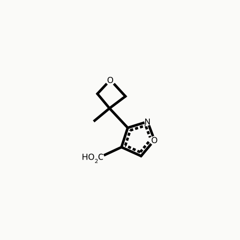 CC1(c2nocc2C(=O)O)COC1